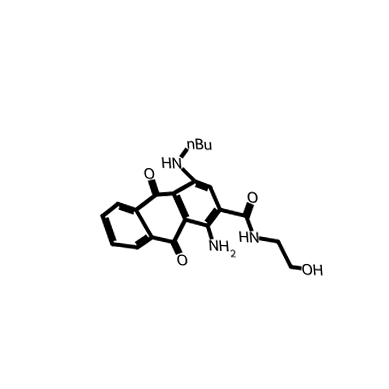 CCCCNc1cc(C(=O)NCCO)c(N)c2c1C(=O)c1ccccc1C2=O